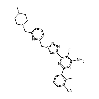 Cc1c(C#N)cccc1-c1nc(N)c(F)c(-c2cn(Cc3cccc(CN4CCN(C)CC4)n3)nn2)n1